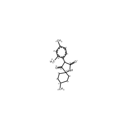 Cc1ccc(C2C(=O)NC3(CCC(C)CC3)C2=O)c(C)c1